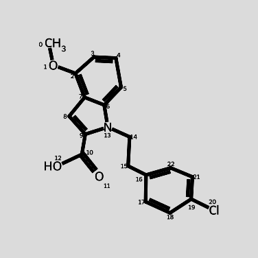 COc1cccc2c1cc(C(=O)O)n2CCc1ccc(Cl)cc1